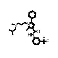 Cc1c(C(=O)Nc2cccc(C(F)(F)F)c2)cc(-c2ccccc2)n1CCCN(C)CC(C)C